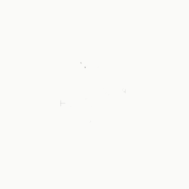 Oc1c(Br)cc(Br)c2ccncc12